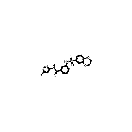 Cc1cc(NC(=O)c2cccc(NS(=O)(=O)c3ccc4c(c3)OCCO4)c2)no1